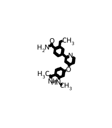 CCc1cc(-c2cc(Oc3ccc(C(C)=N)c(NC)c3)ccn2)ccc1C(N)=O